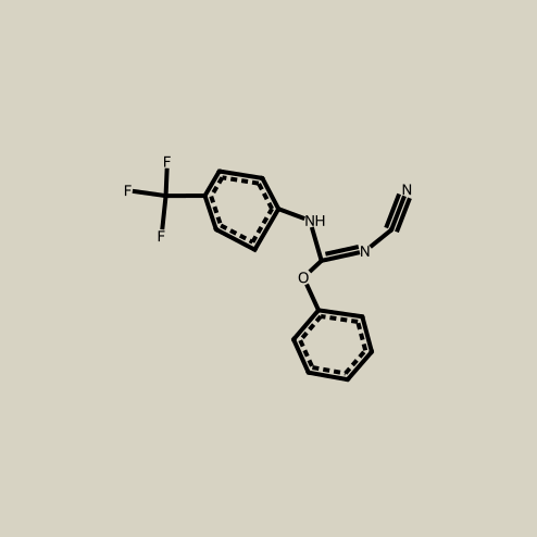 N#C/N=C(\Nc1ccc(C(F)(F)F)cc1)Oc1ccccc1